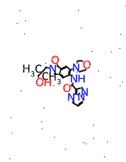 CC(C)(CO)CN1Cc2cc(NC(=O)c3cnn4cccnc34)c(N3CCOCC3)cc2C1=O